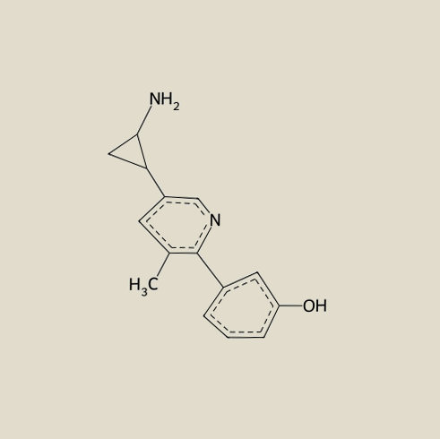 Cc1cc(C2CC2N)cnc1-c1cccc(O)c1